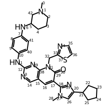 CN1CCCC(Nc2ccc(Nc3ncc4cc(-c5nc(C6CCCC6)cn5C)c(=O)n(Cc5nccs5)c4n3)cc2)C1